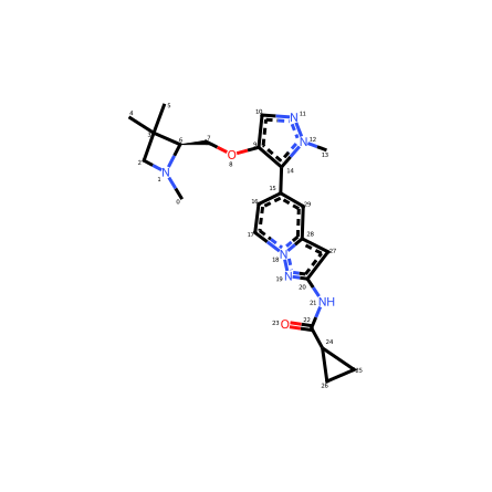 CN1CC(C)(C)[C@H]1COc1cnn(C)c1-c1ccn2nc(NC(=O)C3CC3)cc2c1